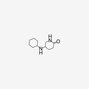 O=C1CCC(NC2CCCCC2)CN1